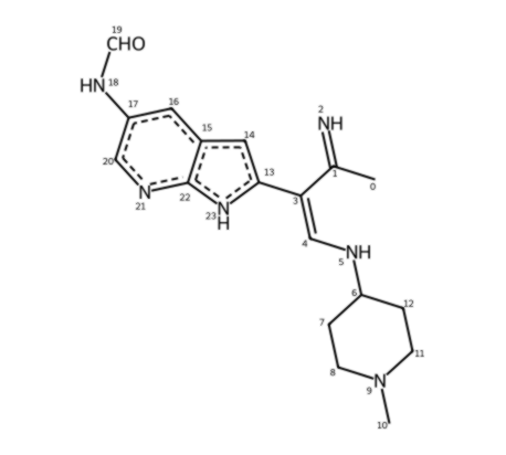 CC(=N)/C(=C\NC1CCN(C)CC1)c1cc2cc(NC=O)cnc2[nH]1